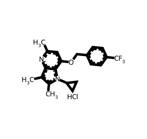 Cc1cc(OCc2ccc(C(F)(F)F)cc2)c2c(n1)c(C)c(C)n2C1CC1.Cl